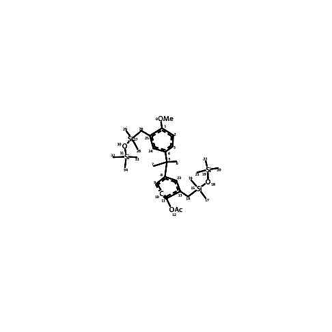 COc1ccc(C(C)(C)c2ccc(OC(C)=O)c(C[Si](C)(C)O[Si](C)(C)C)c2)cc1C[Si](C)(C)O[Si](C)(C)C